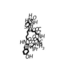 CC(C)[C@H](NC(=O)[C@H](Cc1ccc(O)cc1)NC(=O)CCCC[C@@H]1SC[C@@H]2NC(=O)N[C@@H]21)C(=O)N[C@@H](C)C(=O)N[C@@H](CC(=O)O)C(=O)C(=O)CCl